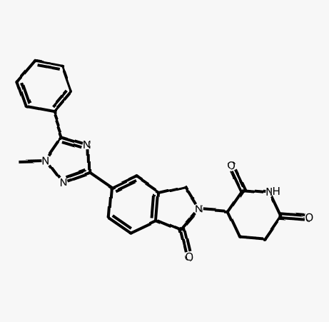 Cn1nc(-c2ccc3c(c2)CN(C2CCC(=O)NC2=O)C3=O)nc1-c1ccccc1